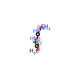 CNC(=O)CNc1ccc(C(=O)Nc2nc(-c3ccc(OC)cc3Cl)cs2)cc1